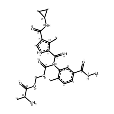 CCNC(=O)c1ccc(C)c(N(C(=N)c2[nH]cc(C(=O)NC3CC3)c2C)C(=O)OCOC(=O)C(C)N)c1